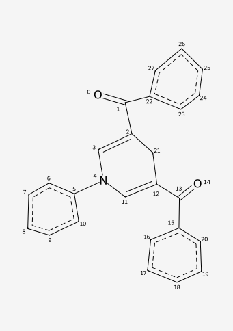 O=C(C1=CN(c2ccccc2)C=C(C(=O)c2ccccc2)C1)c1ccccc1